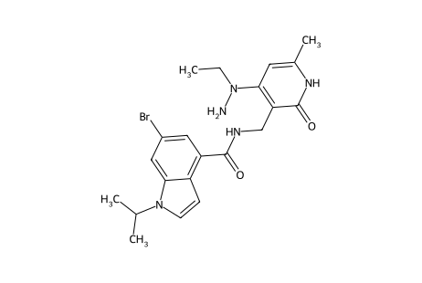 CCN(N)c1cc(C)[nH]c(=O)c1CNC(=O)c1cc(Br)cc2c1ccn2C(C)C